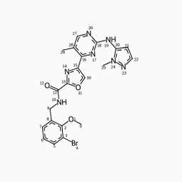 COc1c(Br)cccc1CNC(=O)c1nc(-c2nc(Nc3ccnn3C)ncc2C)co1